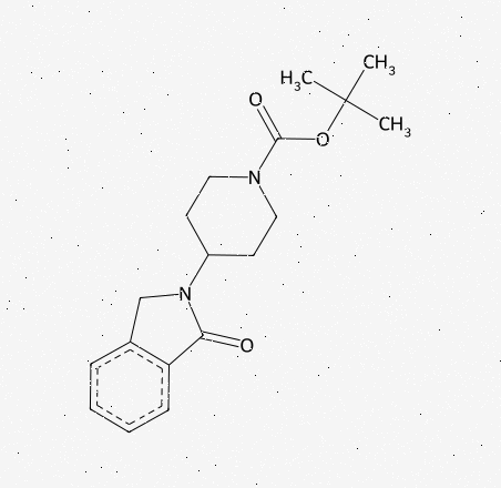 CC(C)(C)OC(=O)N1CCC(N2Cc3ccccc3C2=O)CC1